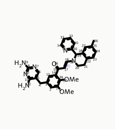 COc1cc(Cc2cnc(N)nc2N)cc(C(=O)/C=C/N2CCc3ccc(C)cc3C2c2ccccn2)c1OC